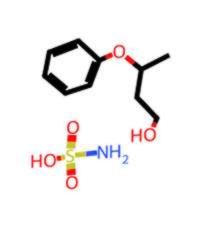 CC(CCO)Oc1ccccc1.NS(=O)(=O)O